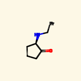 CC(C)CN[C@@H]1CCCC1=O